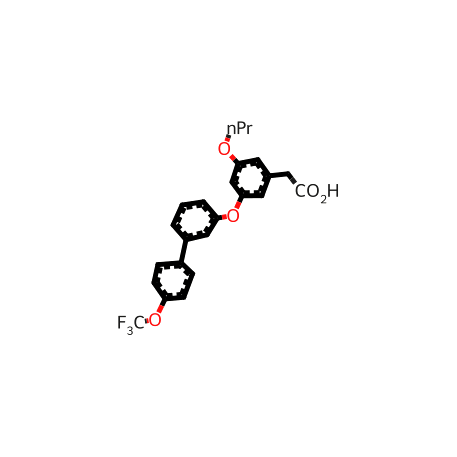 CCCOc1cc(CC(=O)O)cc(Oc2cccc(-c3ccc(OC(F)(F)F)cc3)c2)c1